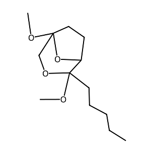 CCCCCC1(OC)OCC2(OC)CCC1O2